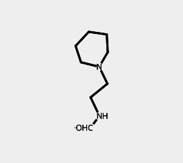 O=[C]NCCN1CCCCC1